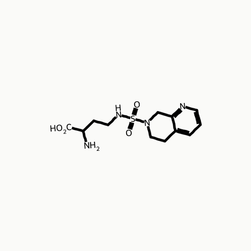 NC(CCNS(=O)(=O)N1CCc2cccnc2C1)C(=O)O